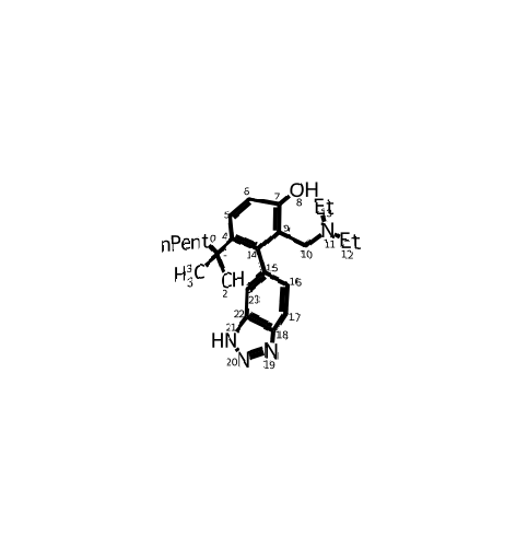 CCCCCC(C)(C)c1ccc(O)c(CN(CC)CC)c1-c1ccc2nn[nH]c2c1